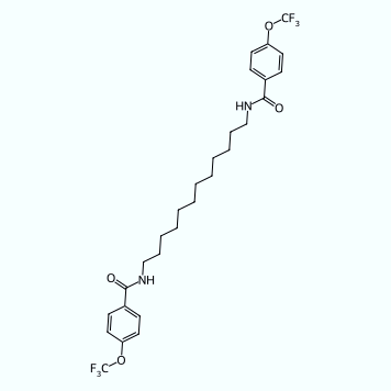 O=C(NCCCCCCCCCCCCNC(=O)c1ccc(OC(F)(F)F)cc1)c1ccc(OC(F)(F)F)cc1